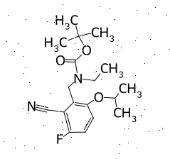 CCN(Cc1c(OC(C)C)ccc(F)c1C#N)C(=O)OC(C)(C)C